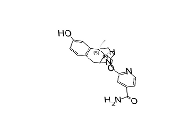 CN1CC[C@]2(C)c3cc(O)ccc3CC1[C@@H]2COc1cc(C(N)=O)ccn1